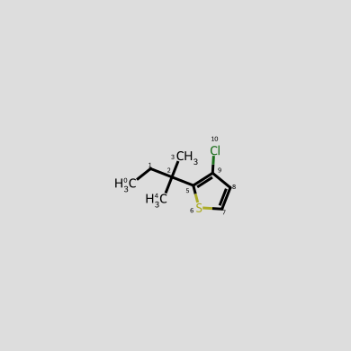 CCC(C)(C)c1sccc1Cl